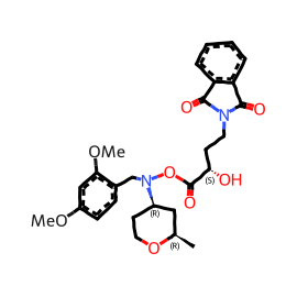 COc1ccc(CN(OC(=O)[C@@H](O)CCN2C(=O)c3ccccc3C2=O)[C@@H]2CCO[C@H](C)C2)c(OC)c1